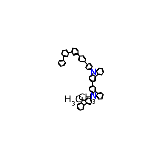 CC1(C)c2ccccc2-c2ccc(-n3c4ccccc4c4cc(-c5ccc6c(c5)c5ccccc5n6-c5ccc(-c6ccc(-c7cccc(-c8cccc(-c9ccccc9)c8)c7)cc6)cc5)ccc43)cc21